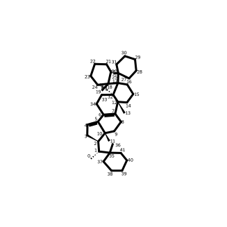 C[C@H]([C@H]1CC=C2C3=C(CC[C@@]21C)[C@@]1(C)CCCC(C2(C)CCCCC2)(C2(C)CCCCC2)[C@@H]1CC3)C1(C)CCCCC1